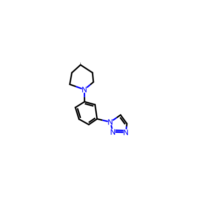 [CH]1CCN(c2cccc(-n3ccnn3)c2)CC1